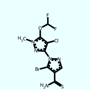 Cn1nc(-n2ncc(C(N)=S)c2Br)c(Cl)c1OC(F)F